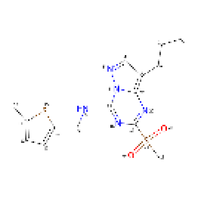 CCCc1cnn2c(NCc3ccc(C)s3)nc(S(C)(=O)=O)nc12